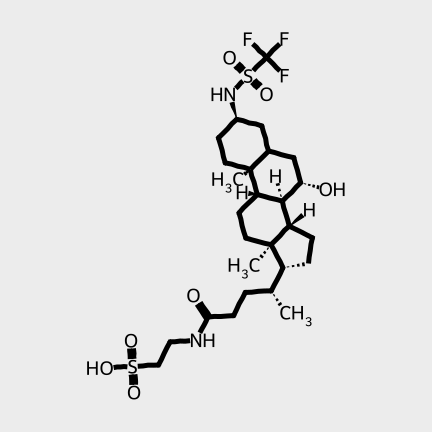 C[C@H](CCC(=O)NCCS(=O)(=O)O)[C@H]1CC[C@H]2[C@@H]3[C@@H](O)CC4C[C@H](NS(=O)(=O)C(F)(F)F)CC[C@]4(C)[C@H]3CC[C@]12C